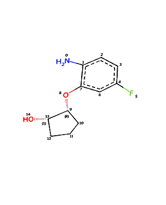 Nc1ccc(F)cc1O[C@@H]1CCC[C@@H]1O